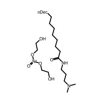 CCCCCCCCCCCCCCCCCC(=O)NCCCN(C)C.O=[N+](OCCO)OCCO